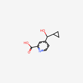 O=C(O)c1cc(C(O)C2CC2)ccn1